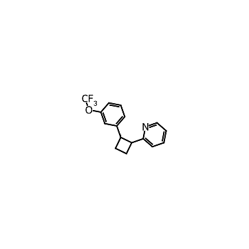 FC(F)(F)Oc1cccc([C]2CCC2c2ccccn2)c1